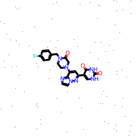 O=C1CN(c2cc(-c3c[nH]c(=O)[nH]c3=O)nn3ccnc23)CCN1Cc1ccc(F)cc1